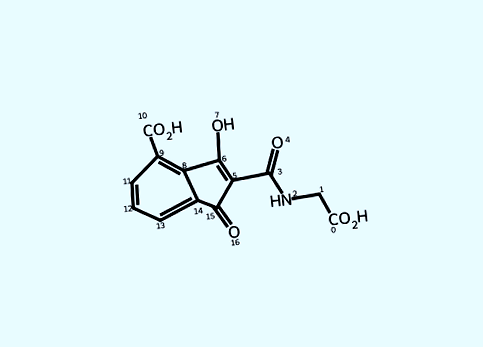 O=C(O)CNC(=O)C1=C(O)c2c(C(=O)O)cccc2C1=O